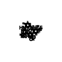 Cc1ccc(NC(=O)c2cccc(C(F)(F)F)c2)cc1Nc1nc(-c2ccc3c(c2)OCO3)c2[nH]ccc2n1